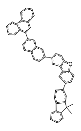 CC1(C)c2ccccc2-c2ccc(-c3ccc4oc5ccc(-c6ccc7ccc(-c8cc9ccccc9c9ccccc89)cc7c6)cc5c4c3)cc21